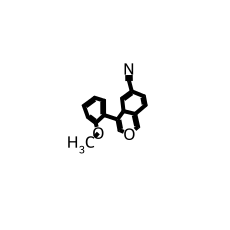 COc1ccccc1C1=COC=C2C=CC(C#N)=CC21